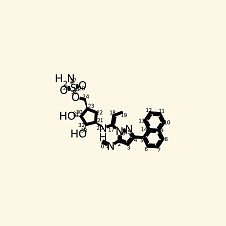 C=Nc1cc(-c2cccc3ccccc23)nn1/C(=C\C)N[C@@H]1C[C@H](COS(N)(=O)=O)[C@@H](O)[C@H]1O